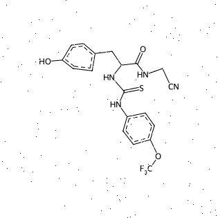 N#CCNC(=O)C(Cc1ccc(O)cc1)NC(=S)Nc1ccc(OC(F)(F)F)cc1